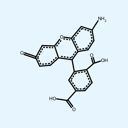 Nc1ccc2c(-c3cc(C(=O)O)ccc3C(=O)O)c3ccc(=O)cc-3oc2c1